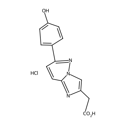 Cl.O=C(O)Cc1cn2nc(-c3ccc(O)cc3)ccc2n1